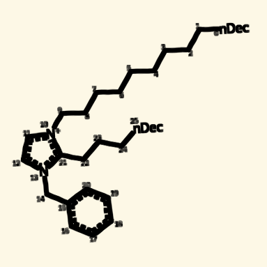 CCCCCCCCCCCCCCCCCCC[n+]1ccn(Cc2ccccc2)c1CCCCCCCCCCCCC